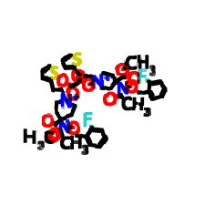 COC(=O)C1(N(OCc2ccccc2F)C(C)=O)CC[N+](CCc2cccs2)(OC(=O)C(=O)O[N+]2(CCc3cccs3)CCC(C(=O)OC)(N(OCc3ccccc3F)C(C)=O)CC2)CC1